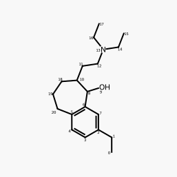 CCc1ccc2c(c1)C(O)C(CCN(CC)CC)CCC2